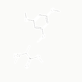 CNC(C)C(=O)OC.COc1cc(OC)cc(OC)c1